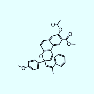 COC(=O)c1cc2c3c(ccc2cc1OC(C)=O)OC(C=C(C)c1ccccc1)(c1ccc(OC)cc1)C=C3